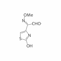 CON=C([C]=O)c1csc(O)n1